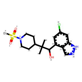 CCS(=O)(=O)N1CCC(C(C)(C)C(O)c2cc(Cl)cc3[nH]ncc23)CC1